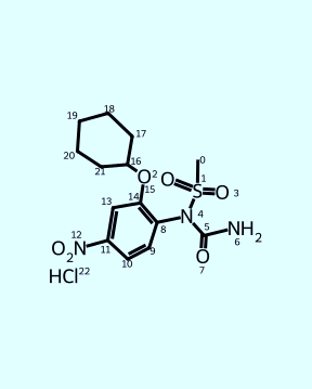 CS(=O)(=O)N(C(N)=O)c1ccc([N+](=O)[O-])cc1OC1CCCCC1.Cl